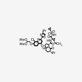 C=C[C@@H]1C[C@]1(NC(=O)[C@@H]1C[C@@H](Oc2cc(-c3nc(C(C)C)cs3)nc3c(Cl)c(OCC(OC)OC)ccc23)[C@H]2CC[C@H](C(C)C)C(=O)N21)C(=O)NS(=O)(=O)C1CC1